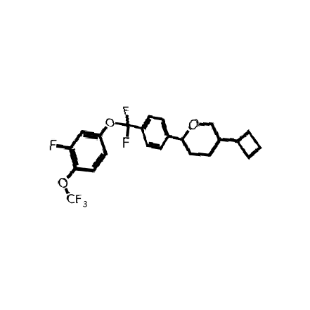 Fc1cc(OC(F)(F)c2ccc(C3CCC(C4CCC4)CO3)cc2)ccc1OC(F)(F)F